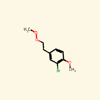 COOCCc1ccc(OC)c(Br)c1